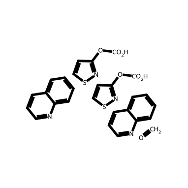 C=O.O=C(O)Oc1ccsn1.O=C(O)Oc1ccsn1.c1ccc2ncccc2c1.c1ccc2ncccc2c1